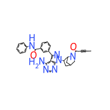 CC#CC(=O)N1CC2CC1C(n1nc(-c3cccc(C(=O)Nc4ccccc4)c3)c3c(N)ncnc31)C2